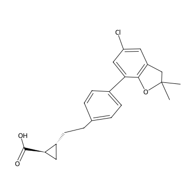 CC1(C)Cc2cc(Cl)cc(-c3ccc(CC[C@@H]4C[C@H]4C(=O)O)cc3)c2O1